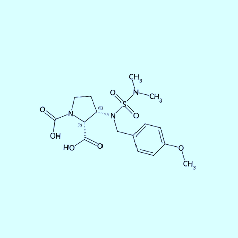 COc1ccc(CN([C@H]2CCN(C(=O)O)[C@H]2C(=O)O)S(=O)(=O)N(C)C)cc1